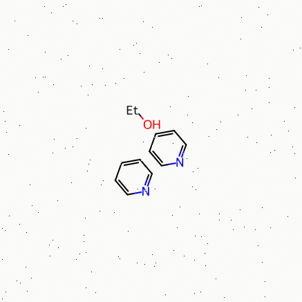 CCO.c1ccncc1.c1ccncc1